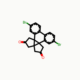 O=C1CC23CC(=O)CC24c2cc(Br)ccc2-c2ccc(Br)cc2C34C1